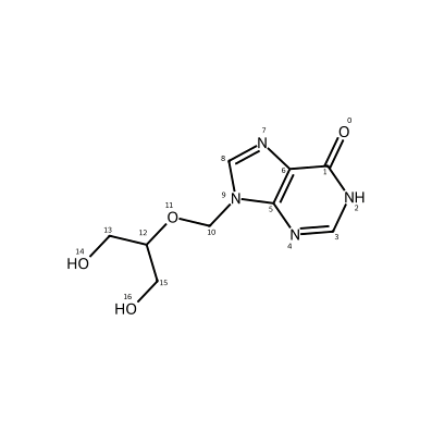 O=c1[nH]cnc2c1ncn2COC(CO)CO